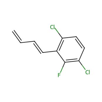 C=C/C=C/c1c(Cl)ccc(Cl)c1F